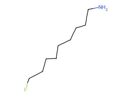 NCCCCCCCCCF